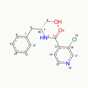 O=C(N[C@@H](CO)Cc1ccccc1)c1ccncc1Cl